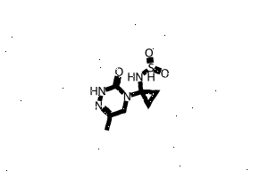 CC1=NNC(=O)N(C2(N[SH](=O)=O)CC2)C1